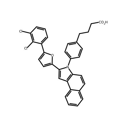 O=C(O)CCCc1ccc(-n2c(-c3ccc(-c4cccc(Cl)c4Cl)o3)cc3c4ccccc4ccc32)cc1